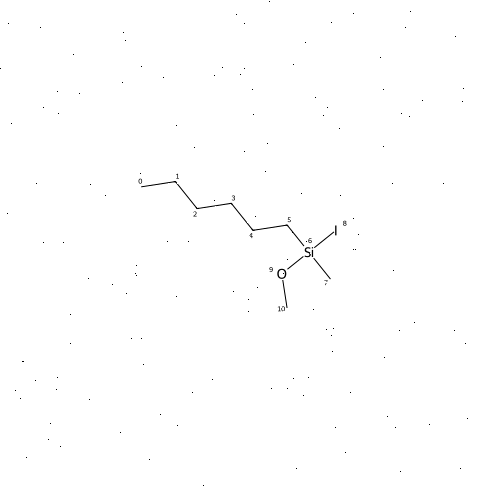 CCCCCC[Si](C)(I)OC